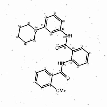 COc1ccccc1C(=O)Nc1ccccc1C(=O)Nc1cccc(N2CCCCC2)c1